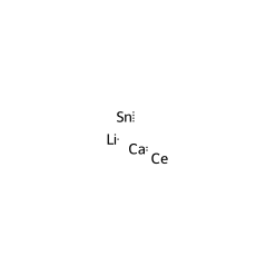 [Ca].[Ce].[Li].[Sn]